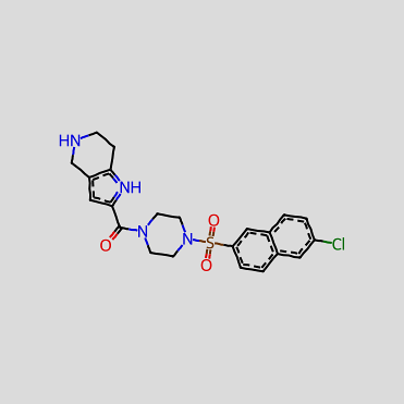 O=C(c1cc2c([nH]1)CCNC2)N1CCN(S(=O)(=O)c2ccc3cc(Cl)ccc3c2)CC1